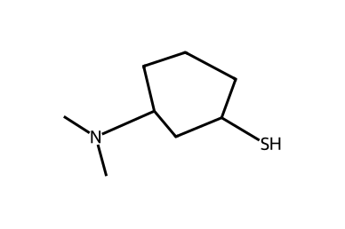 CN(C)C1CCCC(S)C1